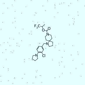 CC(OC(=O)N1CCC2(CCCN2Cc2ccc(N3CCCC3)c(Cl)c2)CC1)C(F)(F)F